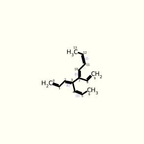 C=C/C=C(\C=C/C)C(/C=C)=C/C=C\C